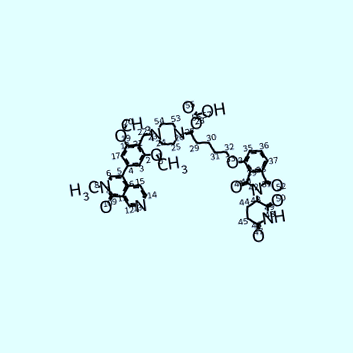 COc1cc(-c2cn(C)c(=O)c3cnccc23)cc(OC)c1CN1CCN(C(=O)CCCCOc2cccc3c2C(=O)N(C2CCC(=O)NC2=O)C3=O)CC1.O=CO